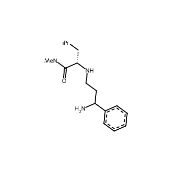 CNC(=O)[C@H](CC(C)C)NCCC(N)c1ccccc1